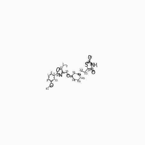 CCc1oc(-c2cccc(OC)c2)nc1CO[C@H]1CCC[C@@H](CCC2SC(=O)NC2=O)C1